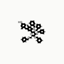 Cc1cc(O)ccc1Cc1cc(C2O[C@H](COCc3ccccc3)[C@@H](OCc3ccccc3)[C@H](OCc3ccccc3)[C@H]2OCc2ccccc2)c(OCc2ccccc2)cc1C